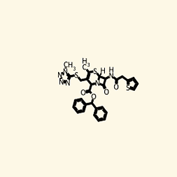 CC1=C(CSc2nnnn2C)C(C(=O)OC(c2ccccc2)c2ccccc2)N2C(=O)C(NC(=O)Cc3cccs3)[C@H]2S1